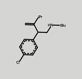 C=C(C(C)C)C(CNC(C)(C)C)c1ccc(Cl)cc1